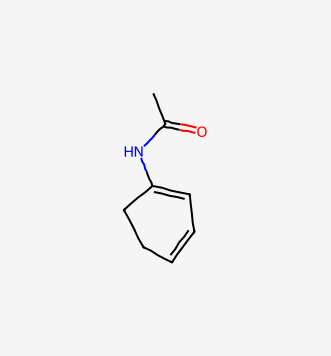 CC(=O)NC1=CC=CCC1